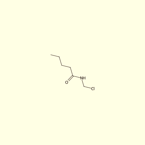 CCCCC(=O)NCCl